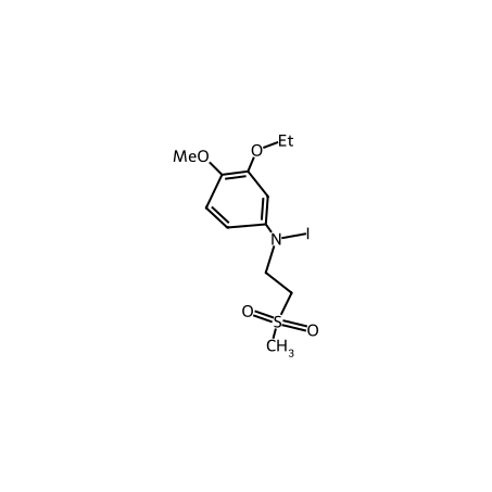 CCOc1cc(N(I)CCS(C)(=O)=O)ccc1OC